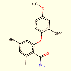 COc1cc(OC(F)(F)F)ccc1Oc1cc(C(C)(C)C)cc(C)c1C(N)=O